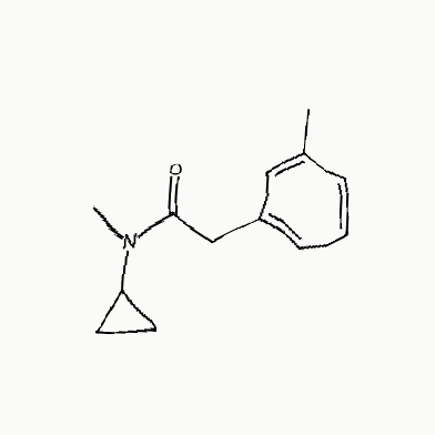 Cc1cccc(CC(=O)N(C)C2CC2)c1